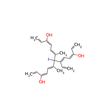 C=C/C(O)=C\C=C(/C)C(I)(/C(C)=C/C=C(/O)C=C)/C(C=C)=C/C=C(/O)C=C